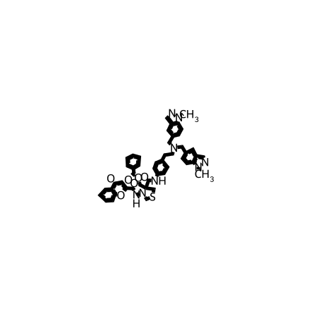 Cn1ncc2cc(CN(CCc3ccc(NC(=O)C4(COC(=O)c5ccccc5)CSCN4NC(=O)c4cc(=O)c5ccccc5o4)cc3)Cc3ccc4c(cnn4C)c3)ccc21